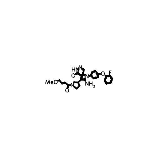 COCC=CC(=O)N1CCC(c2c(N)n(-c3ccc(Oc4ccccc4F)cc3)c3cn[nH]c(=O)c23)C1